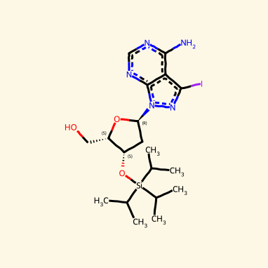 CC(C)[Si](O[C@H]1C[C@H](n2nc(I)c3c(N)ncnc32)O[C@H]1CO)(C(C)C)C(C)C